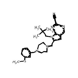 COc1cccc(N2CCN(Cc3cc4cnc(C#N)nc4n3CC(C)(C)C)CC2)c1